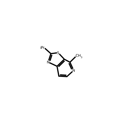 Cc1nccc2nc(C(C)C)sc12